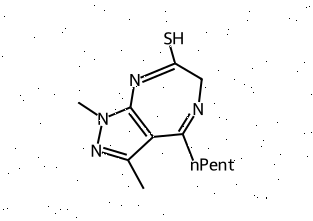 CCCCCC1=NCC(S)=Nc2c1c(C)nn2C